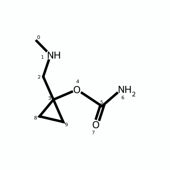 CNCC1(OC(N)=O)CC1